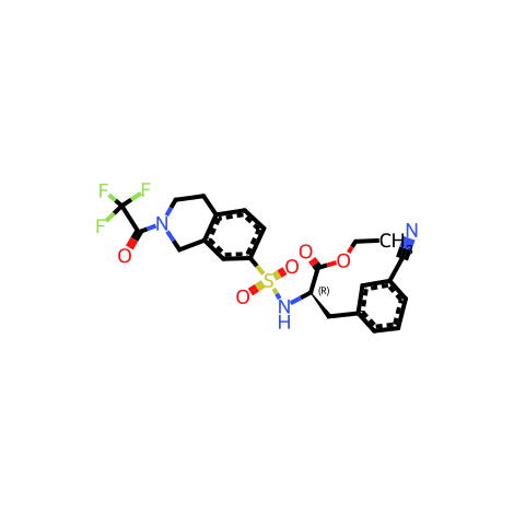 CCOC(=O)[C@@H](Cc1cccc(C#N)c1)NS(=O)(=O)c1ccc2c(c1)CN(C(=O)C(F)(F)F)CC2